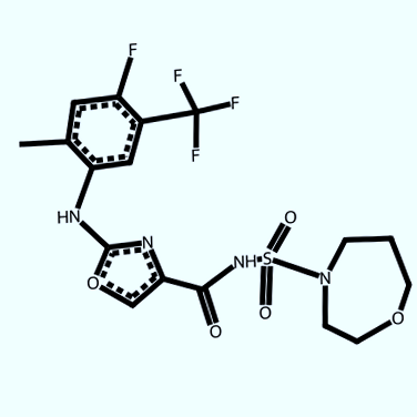 Cc1cc(F)c(C(F)(F)F)cc1Nc1nc(C(=O)NS(=O)(=O)N2CCCOCC2)co1